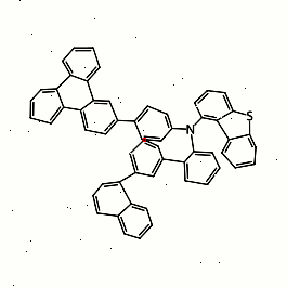 c1cc(-c2ccccc2N(c2ccc(-c3ccc4c5ccccc5c5ccccc5c4c3)cc2)c2cccc3sc4ccccc4c23)cc(-c2cccc3ccccc23)c1